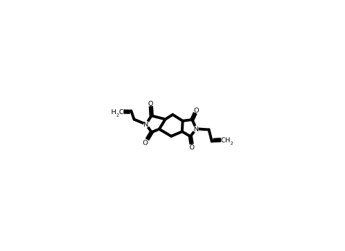 C=CCN1C(=O)C2CC3C(=O)N(CC=C)C(=O)C3CC2C1=O